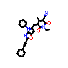 CCN1C(=O)C(C#N)=C(C)/C(=C/c2cc3oc(C#Cc4ccccc4)nc3n2-c2ccccc2)C1=O